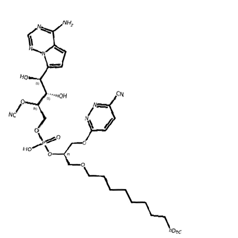 CCCCCCCCCCCCCCCCCCOC[C@H](COc1ccc(C#N)nn1)OP(=O)(O)OC[C@@H](OC#N)[C@@H](O)[C@@H](O)c1ccc2c(N)ncnn12